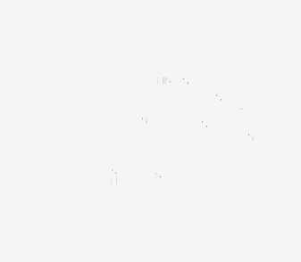 O=C(Cc1ccccc1)Nc1cncc(-c2ncc3[nH]nc(-c4nc5c(-c6ccccc6F)nccc5[nH]4)c3c2F)c1